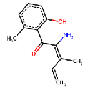 C=C/C(C)=C(/N)C(=O)c1c(C)cccc1O